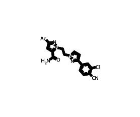 CC(=O)c1cc(C(N)=O)n(CCn2ccc(-c3ccc(C#N)c(Cl)c3)n2)n1